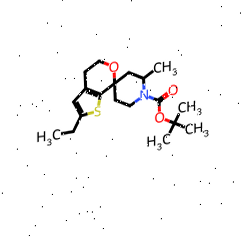 CCc1cc2c(s1)C1(CCN(C(=O)OC(C)(C)C)C(C)C1)OCC2